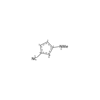 CNc1ccc(C#N)s1